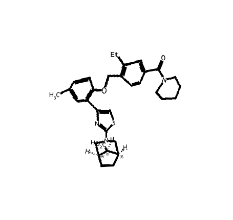 CCc1cc(C(=O)N2CCCCC2)ccc1COc1ccc(C)cc1-c1csc(N2C[C@H]3CC[C@@H](C2)[C@H]3C(=O)O)n1